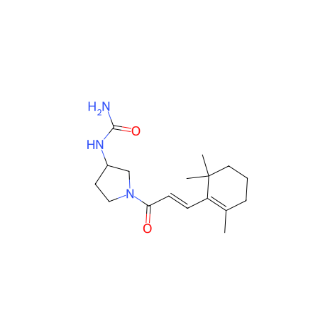 CC1=C(C=CC(=O)N2CCC(NC(N)=O)C2)C(C)(C)CCC1